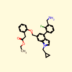 CCOC(=O)Cc1ccccc1OCc1cc(-c2cccc(CN)c2F)c2ccn(CC3CC3)c2c1